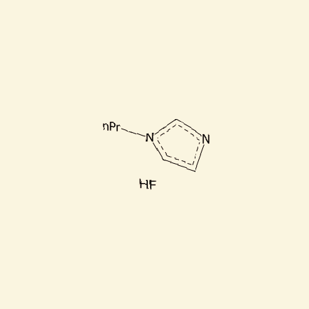 CCCn1ccnc1.F